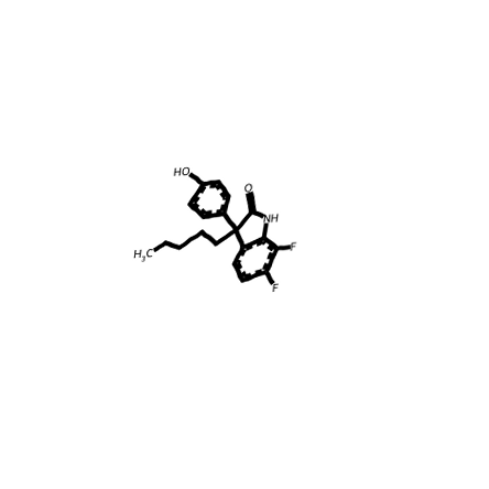 CCCCCC1(c2ccc(O)cc2)C(=O)Nc2c1ccc(F)c2F